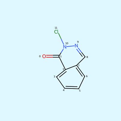 O=c1c2ccccc2cnn1Cl